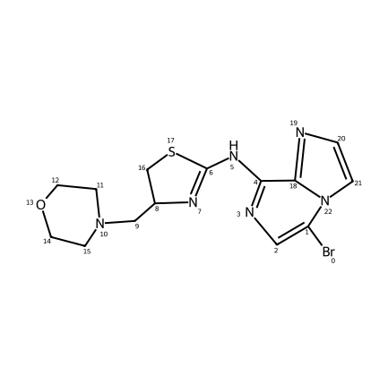 Brc1cnc(NC2=NC(CN3CCOCC3)CS2)c2nccn12